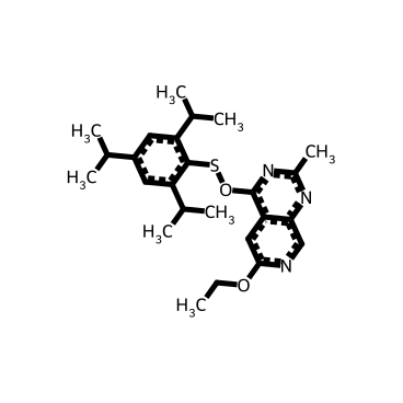 CCOc1cc2c(OSc3c(C(C)C)cc(C(C)C)cc3C(C)C)nc(C)nc2cn1